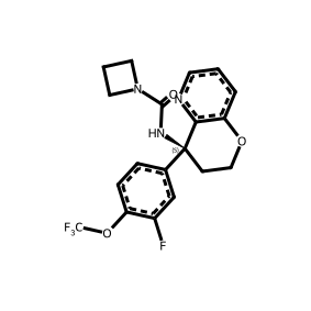 O=C(N[C@]1(c2ccc(OC(F)(F)F)c(F)c2)CCOc2cccnc21)N1CCC1